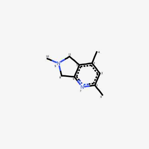 Cc1cc(C)c2c(n1)CN(C)C2